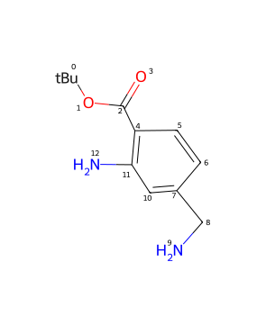 CC(C)(C)OC(=O)c1ccc(CN)cc1N